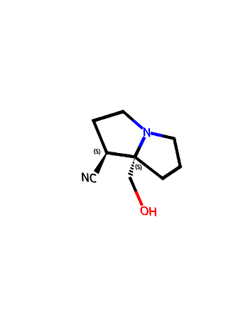 N#C[C@H]1CCN2CCC[C@@]12CO